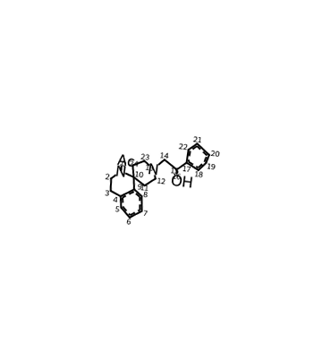 CC(=O)N1CCc2ccccc2C12CCN(CC(O)c1ccccc1)CC2